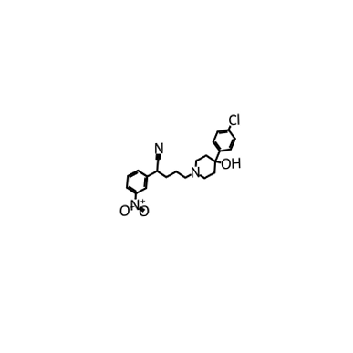 N#CC(CCCN1CCC(O)(c2ccc(Cl)cc2)CC1)c1cccc([N+](=O)[O-])c1